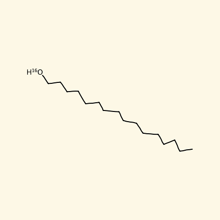 CCCCCCCCCCCCCCCC[16OH]